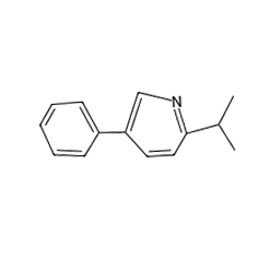 CC(C)c1ccc(-c2ccccc2)cn1